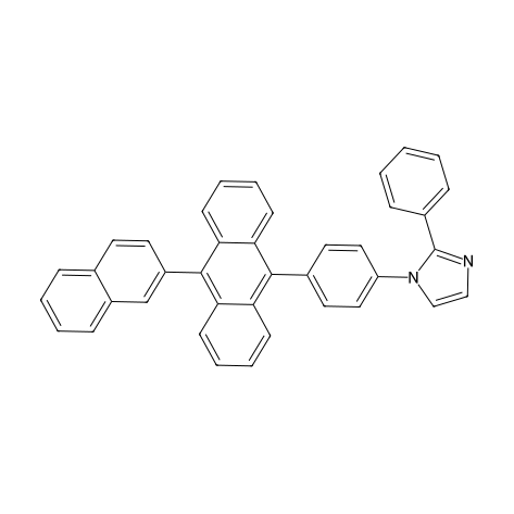 c1ccc(-c2nccn2-c2ccc(-c3c4ccccc4c(-c4ccc5ccccc5c4)c4ccccc34)cc2)cc1